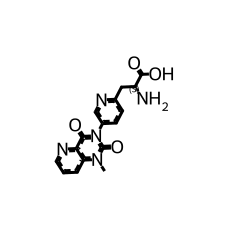 Cn1c(=O)n(-c2ccc(C[C@H](N)C(=O)O)nc2)c(=O)c2ncccc21